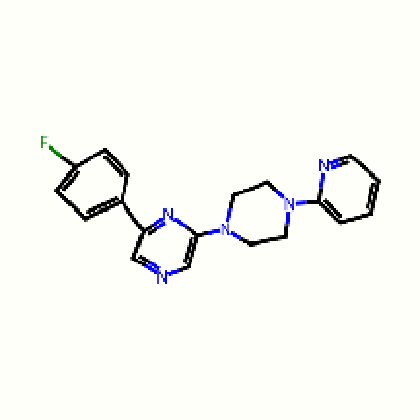 Fc1ccc(-c2cncc(N3CCN(c4ccccn4)CC3)n2)cc1